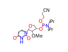 COC1C(OP(OCCC#N)N(C(C)C)C(C)C)COC1n1ccc(=O)[nH]c1=O